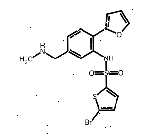 CNCc1ccc(-c2ccco2)c(NS(=O)(=O)c2ccc(Br)s2)c1